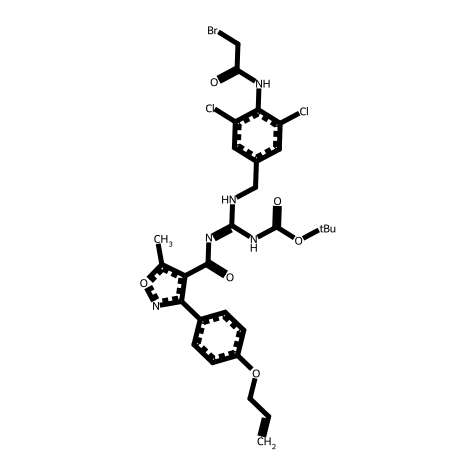 C=CCOc1ccc(-c2noc(C)c2C(=O)/N=C(/NCc2cc(Cl)c(NC(=O)CBr)c(Cl)c2)NC(=O)OC(C)(C)C)cc1